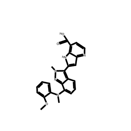 COc1ccccc1N(C)c1cccc2c(-c3cc4nccc(C(=O)O)c4[nH]3)n(C)nc12